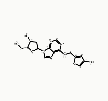 OC[C@H]1OC(n2cnc3c(NCc4cc(O)co4)ncnc32)C[C@@H]1O